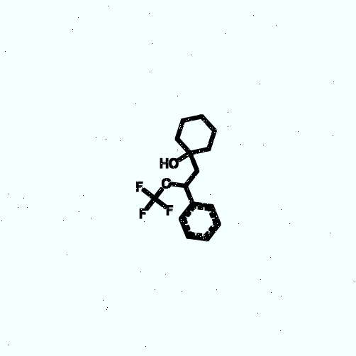 OC1(CC(OC(F)(F)F)c2ccccc2)CCCCC1